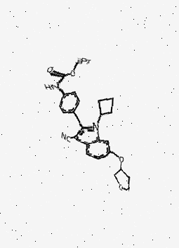 CC(C)OC(=O)Nc1ccc(-c2c(C#N)c3ccc(OC4CCOC4)cc3n2C2CCC2)cc1